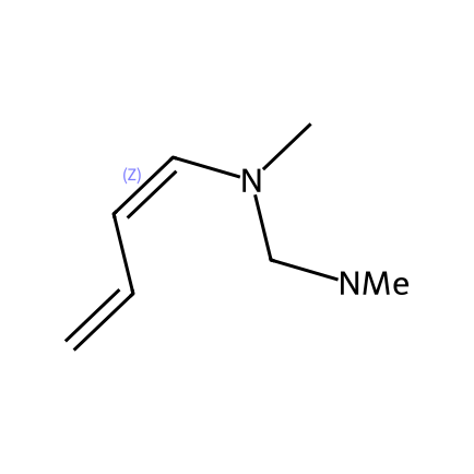 C=C/C=C\N(C)CNC